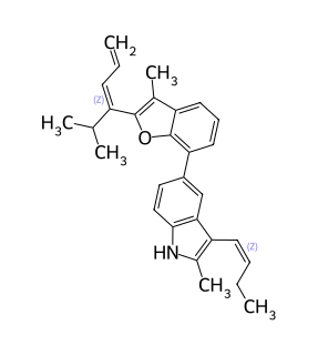 C=C/C=C(\c1oc2c(-c3ccc4[nH]c(C)c(/C=C\CC)c4c3)cccc2c1C)C(C)C